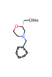 COC[C@@H]1CN(Cc2ccccc2)CCO1